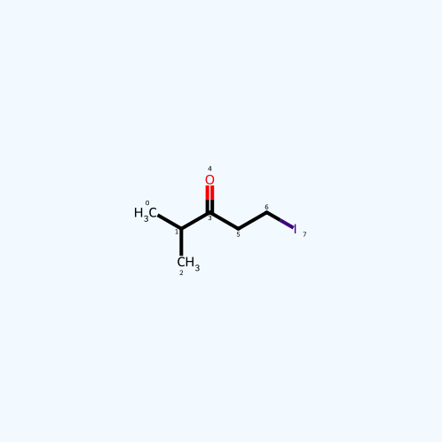 CC(C)C(=O)CCI